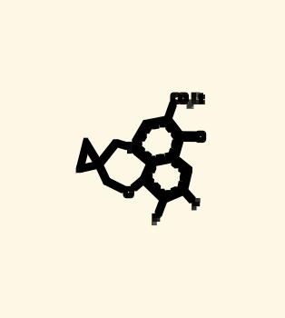 CCOC(=O)c1cn2c3c(c(F)c(F)cc3c1=O)OCC1(CC1)C2